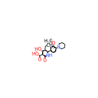 CCc1c(-c2ccc(N3CCCCC3)c(OC)c2)[nH]c(=O)c(C(=O)O)c1O